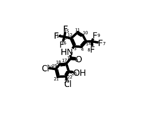 O=C(Nc1cc(C(F)(F)F)ccc1C(F)(F)F)c1cc(Cl)cc(Cl)c1O